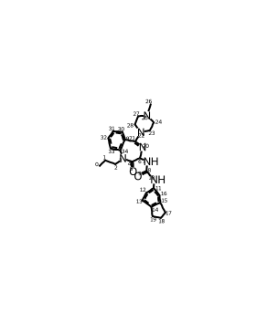 CCCN1C(=O)C(NC(=O)Nc2ccc3c(c2)CCC3)N=C(N2CCN(C)CC2)c2ccccc21